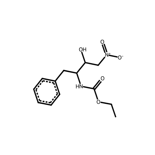 CCOC(=O)NC(Cc1ccccc1)C(O)C[N+](=O)[O-]